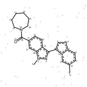 Cn1nc(-c2cnc3ccc(F)cn23)c2ccc(C(=O)N3CCCCCC3)cc21